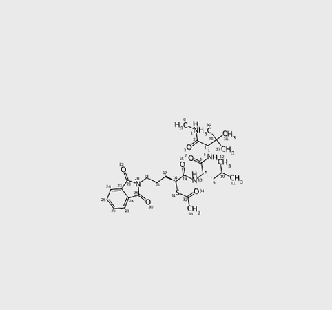 CNC(=O)[C@@H](NC(=O)[C@H](CC(C)C)NC(=O)[C@H](CCCN1C(=O)c2ccccc2C1=O)SC(C)=O)C(C)(C)C